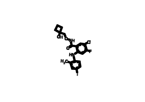 Cc1cc(I)ccc1Nc1cc(F)c(Cl)cc1C(=O)NOCC1(O)CCC1